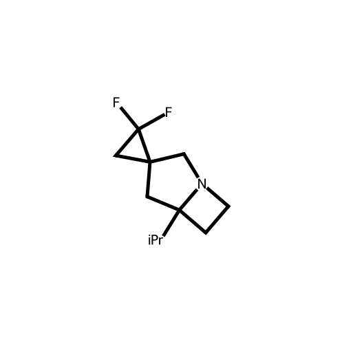 CC(C)C12CCN1CC1(C2)CC1(F)F